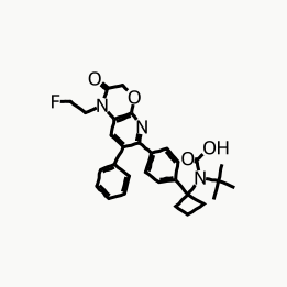 CC(C)(C)N(C(=O)O)C1(c2ccc(-c3nc4c(cc3-c3ccccc3)N(CCF)C(=O)CO4)cc2)CCC1